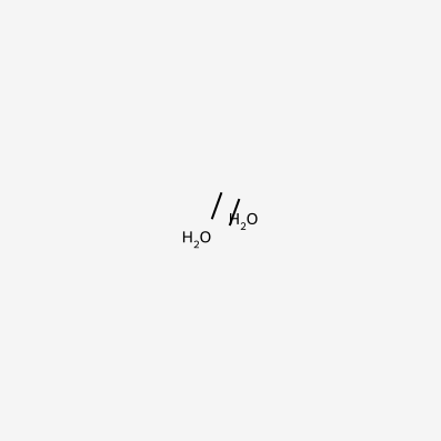 CC.CC.O.O